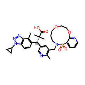 Cc1ncc([C@H](c2ccc3c(nnn3C3CC3)c2C)C(C)(C)C(=O)O)cc1CN1CCCOCCOc2ncccc2S1(=O)=O